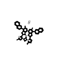 Cc1ccc(C2=Cc3c(ccc(C)c3-c3ccc4ccccc4c3)[CH]2[Zr+2](=[C]2CCC2)[CH]2C(c3ccc(C)o3)=Cc3c2ccc(C)c3-c2ccc3ccccc3c2)o1.[Cl-].[Cl-]